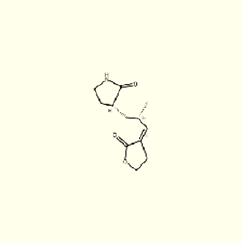 C[C@H](/C=C1/CCOC1=O)C[C@@H]1CCNC1=O